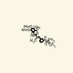 COc1cc2[nH]c(N(C)Cc3cccc(NC(=O)N(C)C)c3)nc(=O)c2c(OC)c1OC